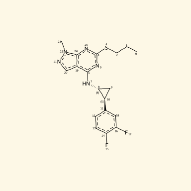 CCCSc1nc(N[C@@H]2C[C@H]2c2ccc(F)c(F)c2)c2cnn(C)c2n1